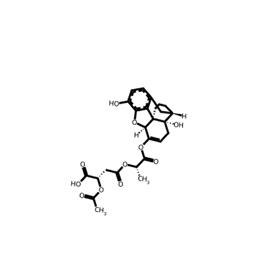 CC(=O)O[C@@H](CC(=O)O[C@@H](C)C(=O)OC1=CC[C@]2(O)[C@H]3CCC[C@]24c2c(ccc(O)c2O[C@H]14)C3)C(=O)O